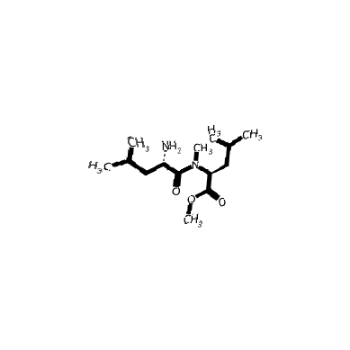 COC(=O)[C@H](CC(C)C)N(C)C(=O)[C@@H](N)CC(C)C